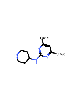 COc1cc(OC)nc(NC2CCNCC2)n1